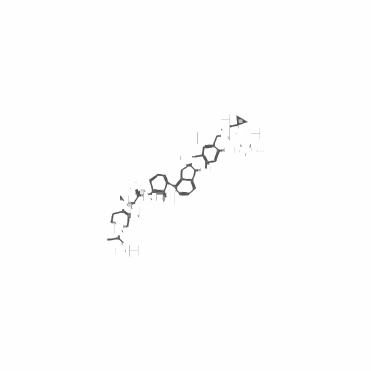 COc1cc(OC2CCc3c(-c4cccc(NC(=O)c5nc6c(n5C)CCN(C(C)CO)C6)c4Cl)cccc32)c(Cl)c(F)c1CNCC1(O)CC1